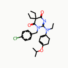 CCN(C1=CC=C(OC(C)C)CC1)C1=NC(=O)C(CC)(CC)C(=O)N1Cc1ccc(Cl)cc1